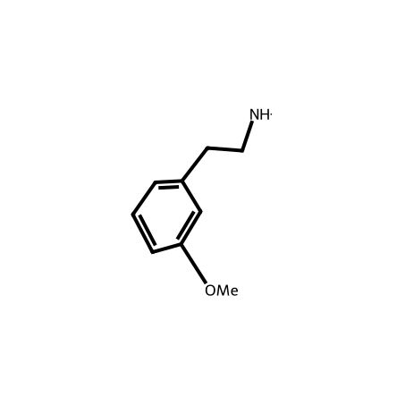 COc1cccc(CC[NH])c1